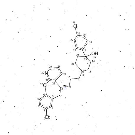 CCc1ccc2c(c1)C/C(=C/CCN1CCC(O)(c3ccc(Cl)cc3)CC1)c1cccnc1O2